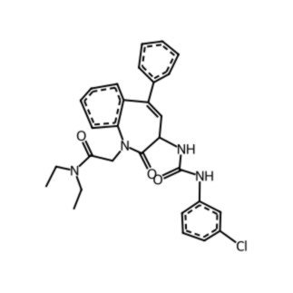 CCN(CC)C(=O)CN1C(=O)C(NC(=O)Nc2cccc(Cl)c2)C=C(c2ccccc2)c2ccccc21